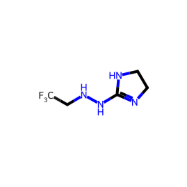 FC(F)(F)CNNC1=NCCN1